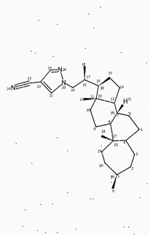 C[C@@H]1CCC2CC[C@@H]3C(CC[C@@]4(C)C3CC[C@@H]4[C@H](C)Cn3cc(C#N)cn3)[C@@]2(C)CC1